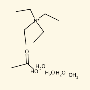 CC(=O)O.CC[N+](CC)(CC)CC.O.O.O.O